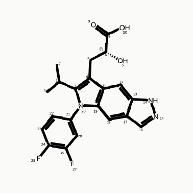 CC(C)c1c(C[C@@H](O)C(=O)O)c2cc3[nH]ncc3cc2n1-c1ccc(F)c(F)c1